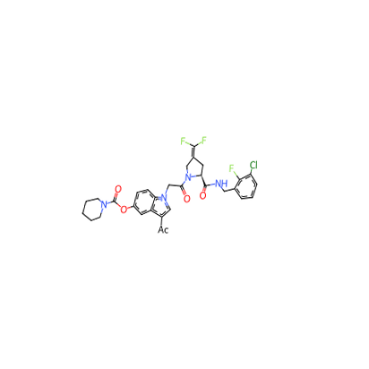 CC(=O)c1cn(CC(=O)N2CC(=C(F)F)C[C@H]2C(=O)NCc2cccc(Cl)c2F)c2ccc(OC(=O)N3CCCCC3)cc12